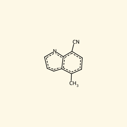 Cc1ccc(C#N)c2ncccc12